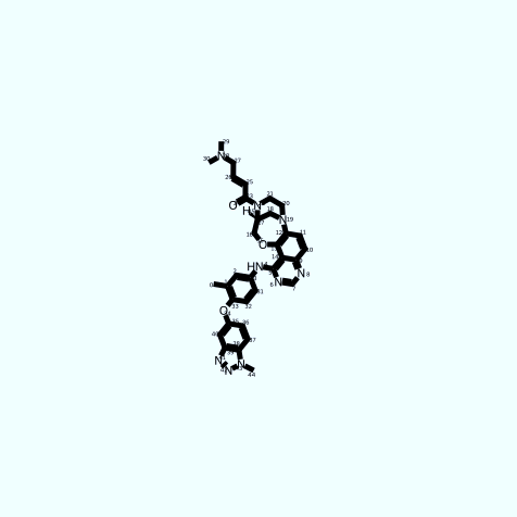 Cc1cc(Nc2ncnc3ccc4c(c23)OC[C@H]2CN4CCN2C(=O)/C=C/CN(C)C)ccc1Oc1ccc2c(c1)nnn2C